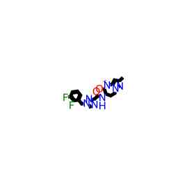 Cc1cc2n(n1)CCC(NC(=O)c1ncn(Cc3cccc(F)c3F)n1)C(=O)N2C